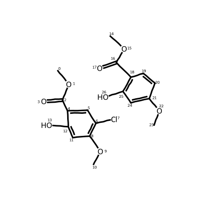 COC(=O)c1cc(Cl)c(OC)cc1O.COC(=O)c1ccc(OC)cc1O